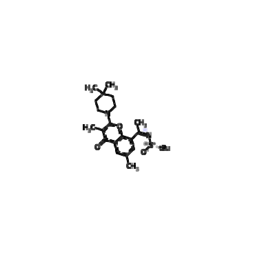 C/C(=N/[S@@+]([O-])C(C)(C)C)c1cc(C)cc2c(=O)c(C)c(N3CCC(C)(C)CC3)oc12